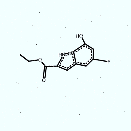 CCOC(=O)c1cc2cc(F)cc(O)c2[nH]1